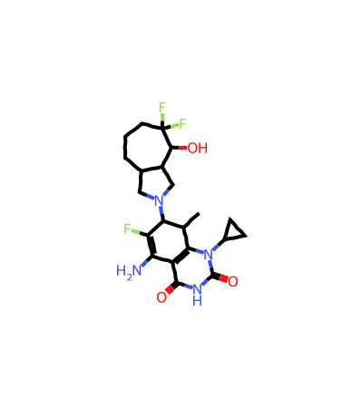 CC1c2c(c(=O)[nH]c(=O)n2C2CC2)C(N)=C(F)C1N1CC2CCCC(F)(F)C(O)C2C1